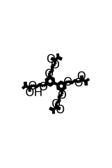 C=C(C)C(=O)OCCOc1cc(OCCOC(=O)C(=C)C)cc(-c2cc(OCCOC(=O)C(=C)C)cc(OCCOC(O)C(=C)C)c2)c1